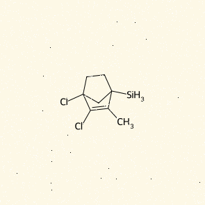 CC1=C(Cl)C2(Cl)CCC1([SiH3])C2